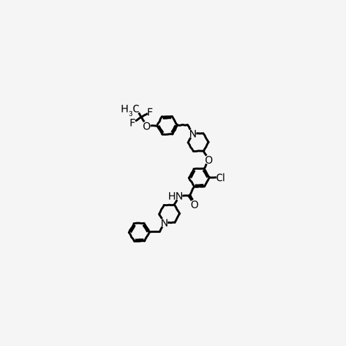 CC(F)(F)Oc1ccc(CN2CCC(Oc3ccc(C(=O)NC4CCN(Cc5ccccc5)CC4)cc3Cl)CC2)cc1